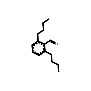 CCCCc1cccc(CCCC)c1C=O